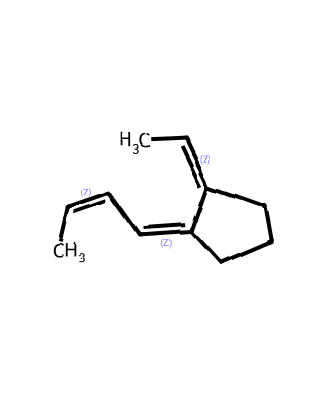 C\C=C/C=C1/CCC/C1=C/C